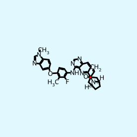 C=CC(=O)N1[C@@H]2CC[C@H]1CC(c1ccc3ncnc(Nc4ccc(Oc5ccc6c(c5)ncn6C)c(C)c4F)c3n1)C2